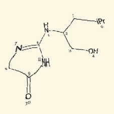 CC(C)CC(CO)NC1=NCC(=O)N1